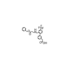 O=C(O)Cc1cccc(-c2ccc(C(F)(F)F)cc2CNCCC(=O)OCc2ccccc2)c1